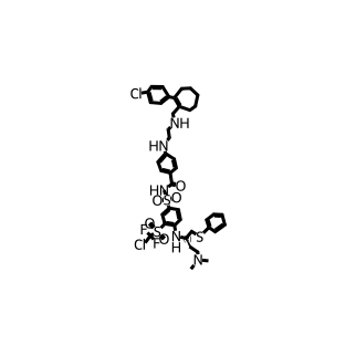 CN(C)CC[C@H](CSc1ccccc1)Nc1ccc(S(=O)(=O)NC(=O)c2ccc(NCCNCC3=C(c4ccc(Cl)cc4)CCCCC3)cc2)cc1S(=O)(=O)C(F)(F)Cl